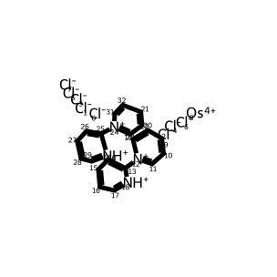 [Cl-].[Cl-].[Cl-].[Cl-].[Cl-].[Cl-].[Cl-].[Cl-].[Os+4].c1cc[n+](-c2cccc[nH+]2)cc1.c1cc[n+](-c2cccc[nH+]2)cc1